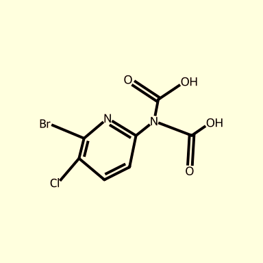 O=C(O)N(C(=O)O)c1ccc(Cl)c(Br)n1